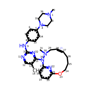 CN1CCN(c2ccc(Nc3ncc(C=O)c(N4c5cccc(n5)OCCC/C=C\CN4C)n3)cc2)CC1